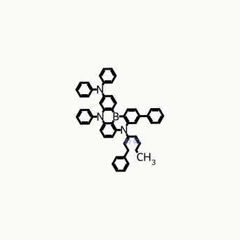 CC/C=C\C(=C/Cc1ccccc1)N1c2cc(-c3ccccc3)ccc2B2c3ccc(N(c4ccccc4)c4ccccc4)cc3N(c3ccccc3)c3cccc1c32